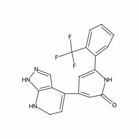 O=c1cc(C2=CCNc3[nH]ncc32)cc(-c2ccccc2C(F)(F)F)[nH]1